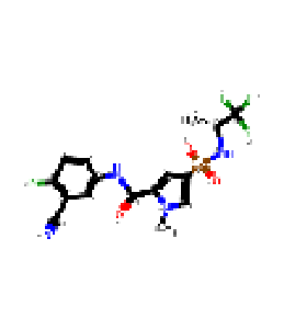 C[C@@H](NS(=O)(=O)c1cc(C(=O)Nc2ccc(F)c(C#N)c2)n(C)c1)C(F)(F)F